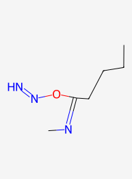 CCCCC(=NC)ON=N